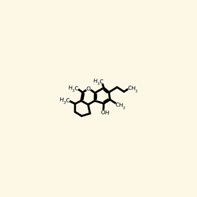 CCCc1c(C)c(O)c2c(c1C)OC(C)=C1C(C)CCCC12